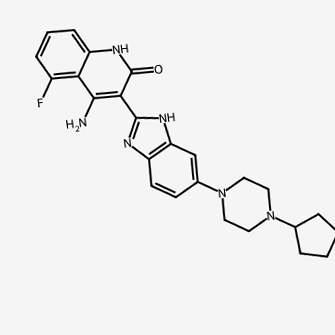 Nc1c(-c2nc3ccc(N4CCN(C5CCCC5)CC4)cc3[nH]2)c(=O)[nH]c2cccc(F)c12